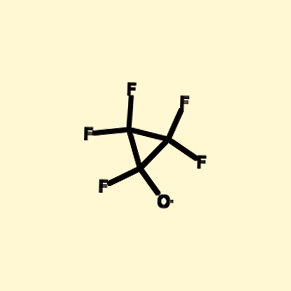 [O]C1(F)C(F)(F)C1(F)F